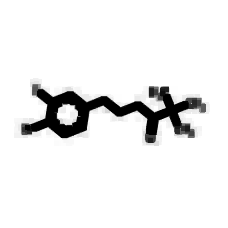 CC(C)(C)C(=O)CCCc1ccc(Br)c(F)c1